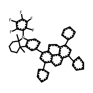 CC12CCCCC1(C)N(c1c(F)c(F)c(F)c(F)c1F)c1ccc(-c3cc(-c4ccccc4)c4ccc5c(-c6ccccc6)cc(-c6ccccc6)c6ccc3c4c56)cc12